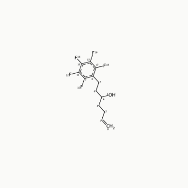 C=CCCC(O)CCc1c(F)c(F)c(F)c(F)c1F